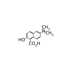 CN(C)c1ccc2c(C(=O)O)c(O)ccc2c1